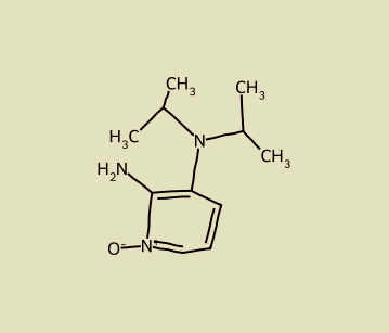 CC(C)N(c1ccc[n+]([O-])c1N)C(C)C